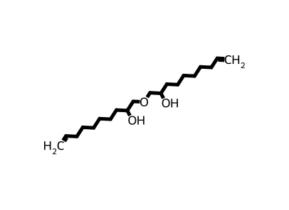 C=CCCCCCCC(O)COCC(O)CCCCCCC=C